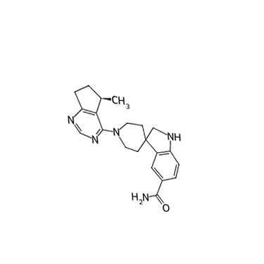 C[C@@H]1CCc2ncnc(N3CCC4(CC3)CNc3ccc(C(N)=O)cc34)c21